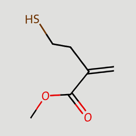 C=C(CCS)C(=O)OC